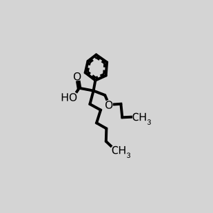 CCCCCCC(COCCC)(C(=O)O)c1ccccc1